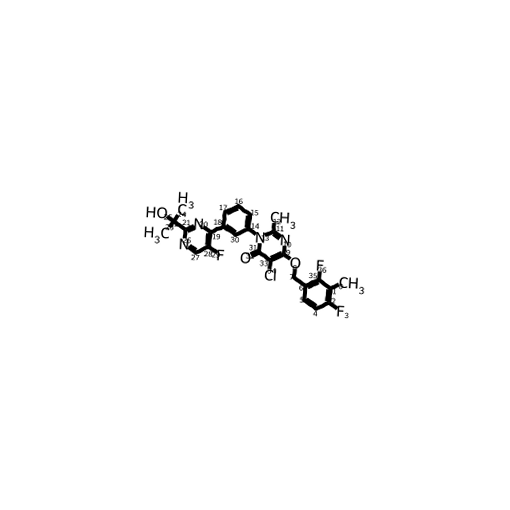 Cc1c(F)ccc(COc2nc(C)n(-c3cccc(-c4nc(C(C)(C)O)ncc4F)c3)c(=O)c2Cl)c1F